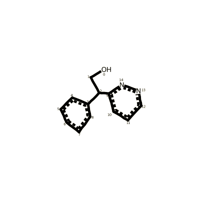 OCC(c1ccccc1)c1cccnn1